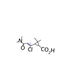 CN(C)C(=O)/C=C(\Cl)C1C(C(=O)O)C1(C)C